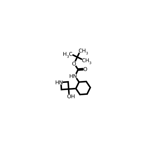 CC(C)(C)OC(=O)NC1CCCCC1C1(O)CNC1